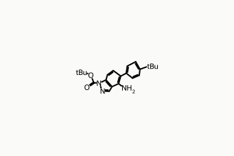 CC(C)(C)OC(=O)n1ncc2c(N)c(-c3ccc(C(C)(C)C)cc3)ccc21